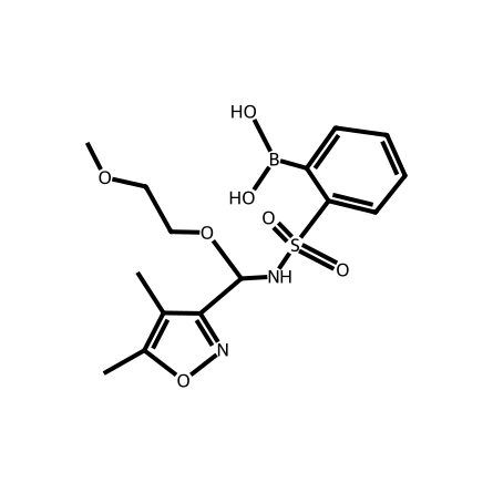 COCCOC(NS(=O)(=O)c1ccccc1B(O)O)c1noc(C)c1C